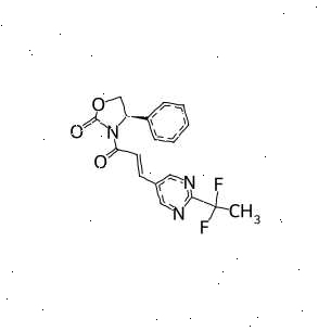 CC(F)(F)c1ncc(/C=C/C(=O)N2C(=O)OC[C@H]2c2ccccc2)cn1